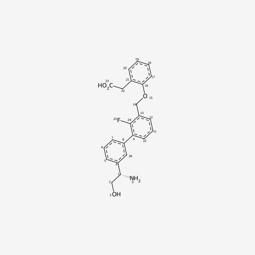 N[C@H](CO)c1cccc(-c2cccc(COc3ccccc3CC(=O)O)c2F)c1